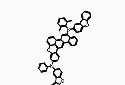 Cc1cccc(C)c1B(c1ccc2oc3ccccc3c2c1)c1cc2c3cccc4c3c(cc2c2ccccc12)-c1ccc(N(c2ccccc2)c2ccc3oc5ccccc5c3c2)cc1O4